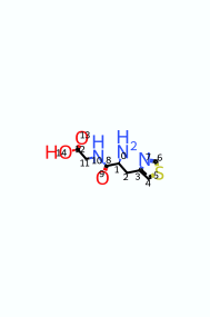 N[C@@H](Cc1cscn1)C(=O)NCC(=O)O